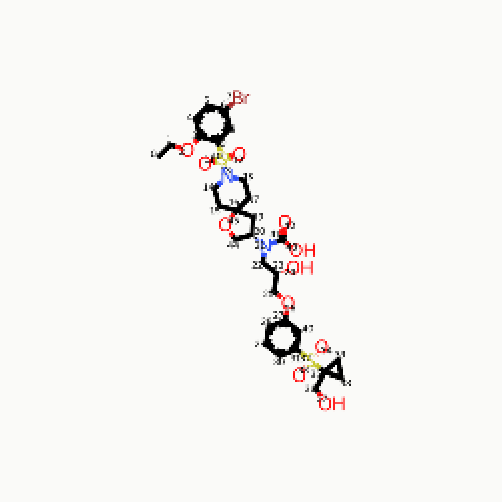 CCOc1ccc(Br)cc1S(=O)(=O)N1CCC2(CC1)C[C@H](N(C[C@H](O)COc1cccc(S(=O)(=O)C3(CO)CC3)c1)C(=O)O)CO2